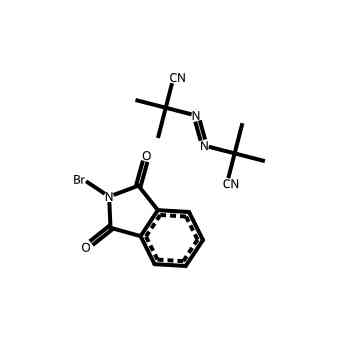 CC(C)(C#N)N=NC(C)(C)C#N.O=C1c2ccccc2C(=O)N1Br